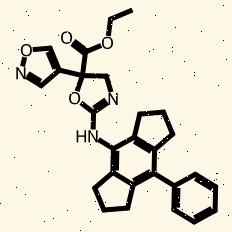 CCOC(=O)C1(c2cnoc2)CN=C(Nc2c3c(c(-c4ccccc4)c4c2CCC4)CCC3)O1